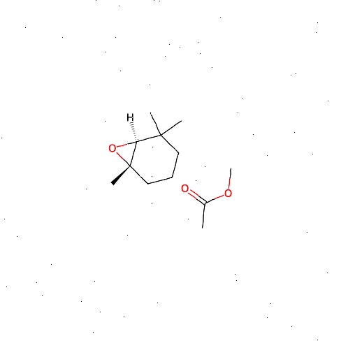 CC1(C)CCC[C@]2(C)O[C@@H]12.COC(C)=O